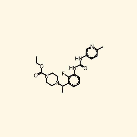 CCOC(=O)N1CCN([C@H](C)c2cccc(NC(=O)Nc3ccc(C)nc3)c2F)CC1